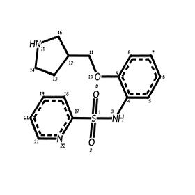 O=S(=O)(Nc1ccccc1OCC1CCNC1)c1ccccn1